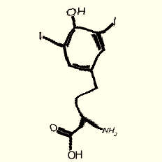 NC(CCc1cc(I)c(O)c(I)c1)C(=O)O